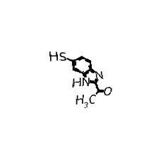 CC(=O)c1nc2ccc(S)cc2[nH]1